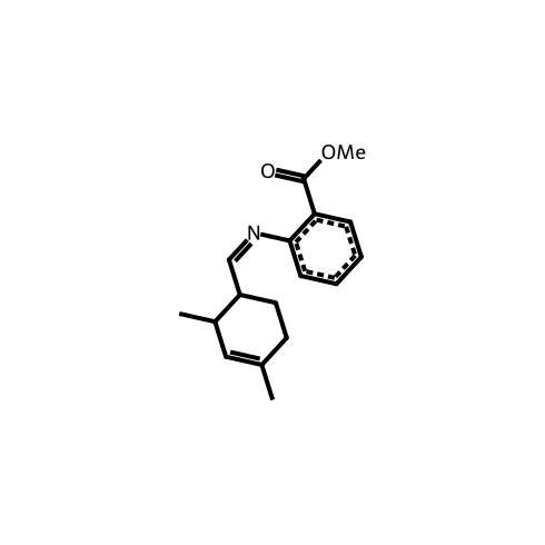 COC(=O)c1ccccc1/N=C\C1CCC(C)=CC1C